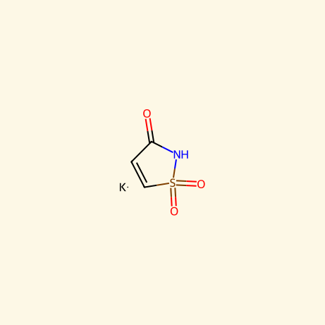 O=C1C=CS(=O)(=O)N1.[K]